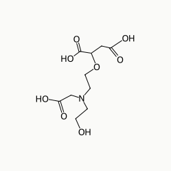 O=C(O)CC(OCCN(CCO)CC(=O)O)C(=O)O